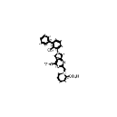 COc1nc(CN2CCCCC2C(=O)O)nc2c1CN(c1cccc(-c3ccccc3)c1Cl)C2